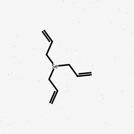 C=CC[Se](CC=C)CC=C